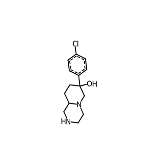 OC1(c2ccc(Cl)cc2)CCC2CNCCN2C1